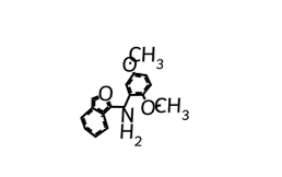 COc1ccc(OC)c(C(N)c2occ3ccccc23)c1